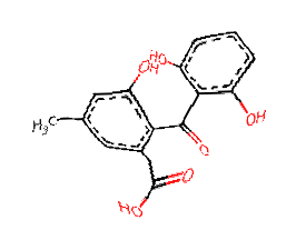 Cc1cc(O)c(C(=O)c2c(O)cccc2O)c(C(=O)O)c1